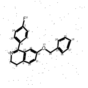 Fc1ccc(C2=NCCc3ccc(OCc4ccccc4)cc32)cc1